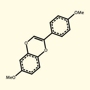 COc1ccc(C2=COc3cc(OC)ccc3O2)cc1